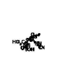 C=CCOC(=O)N1C[C@@H](SC2=C(C(=O)O)N3C(=O)[C@H]([C@@H](C)O)[C@H]3[C@H]2C)C[C@H]1CCn1cnc(C#N)c1